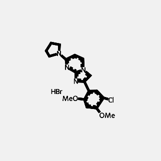 Br.COc1cc(OC)c(-c2cn3ccc(N4CCCC4)nc3n2)cc1Cl